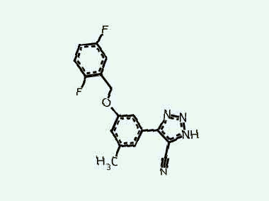 Cc1cc(OCc2cc(F)ccc2F)cc(-c2nn[nH]c2C#N)c1